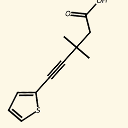 CC(C)(C#Cc1cccs1)CC(=O)O